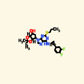 CCCSc1nc(N[C@@H]2C[C@H]2c2ccc(F)c(F)c2)c2ncn([C@@H]3C[C@H](O)[C@H]4OC(C)(C)O[C@H]43)c2n1